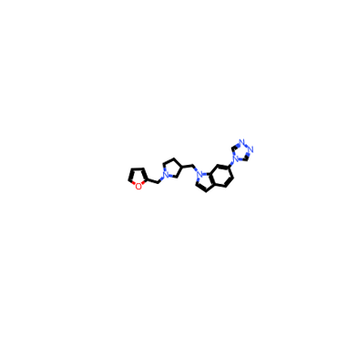 c1coc(CN2CCC(Cn3ccc4ccc(-n5cnnc5)cc43)C2)c1